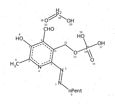 CCCCCN=Nc1nc(C)c(O)c(C=O)c1COP(=O)(O)O.O=[PH2]O